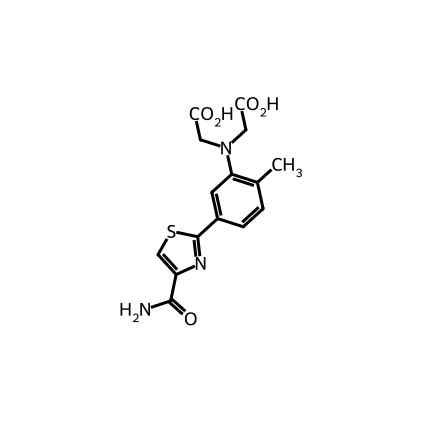 Cc1ccc(-c2nc(C(N)=O)cs2)cc1N(CC(=O)O)CC(=O)O